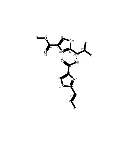 C/C=C/c1nc(C(=O)N[C@H](c2nc(C(=O)OC)cs2)C(C)C)cs1